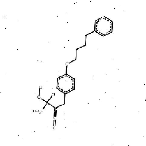 CCOC(CC)(C(=O)O)C(=C=O)Cc1ccc(OCCCCc2ccccc2)cc1